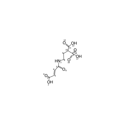 O=C(O)C=CC(=O)NCCC(C(=O)O)S(=O)(=O)O